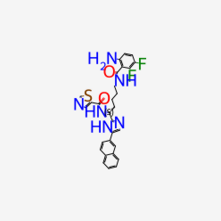 Nc1ccc(F)c(F)c1C(=O)NCCCC[C@H](NC(=O)c1cncs1)c1ncc(-c2ccc3ccccc3c2)[nH]1